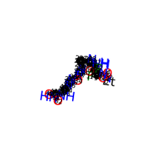 CCN(C)S(=O)(=O)Nc1ccc(F)c(C(=O)c2c[nH]c3ncc(-c4ccccc4CN4CCN(C(=O)CN5CCN(c6ccc(NC7CCC(=O)NC7=O)cc6)CC5)CC4)cc23)c1F